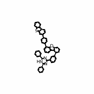 c1ccc(C2=NC(c3cccc(-c4cccc5oc6c(-c7ccc(-c8ccc9c(c8)sc8ccccc89)cc7)cccc6c45)c3)=NC(c3ccccc3)N2)cc1